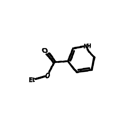 CCOC(=O)C1=CNCC=C1